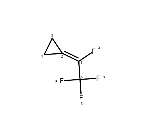 FC(=C1CC1)C(F)(F)F